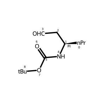 CCC[C@H](CC=O)NC(=O)OC(C)(C)C